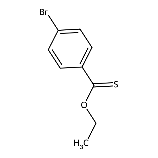 CCOC(=S)c1ccc(Br)cc1